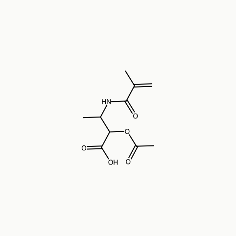 C=C(C)C(=O)NC(C)C(OC(C)=O)C(=O)O